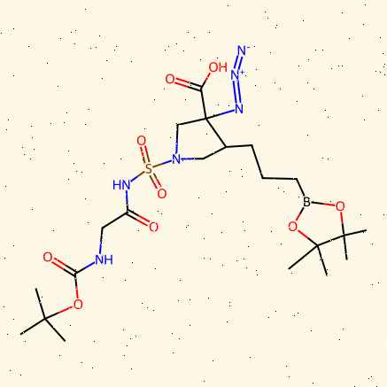 CC(C)(C)OC(=O)NCC(=O)NS(=O)(=O)N1CC(CCCB2OC(C)(C)C(C)(C)O2)C(N=[N+]=[N-])(C(=O)O)C1